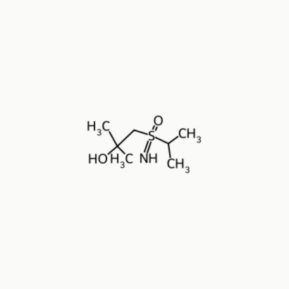 CC(C)S(=N)(=O)CC(C)(C)O